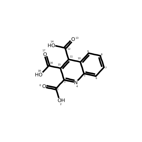 O=C(O)c1nc2ccccc2c(C(=O)O)c1C(=O)O